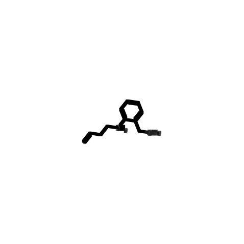 C=CCC[SiH2]c1ccccc1COC